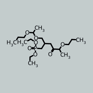 CCCOC(C)OCC(CC(=O)C(C)OCCC)CP(=O)(OCC)OCC